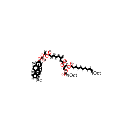 CCCCCCCC/C=C\CCCCCCCC(=O)OCC(COC(=O)CCCCCCCC)OC(=O)CC(C)CCCCC(=O)OC(C)OC(=O)O[C@H]1CC[C@@]2(C)[C@@H](CC[C@@H]3[C@@H]2CC[C@]2(C)[C@@H](C(C)=O)CC[C@@H]32)C1